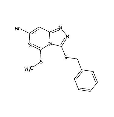 CSc1nc(Br)cc2nnc(SCc3ccccc3)n12